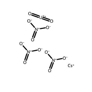 O=[N+]([O-])[O-].O=[N+]([O-])[O-].O=[N+]([O-])[O-].[Cs+].[O]=[U+2]=[O]